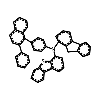 c1ccc(-c2ccc3ccccc3c2-c2ccc(N(c3cccc4c3Cc3ccccc3-4)c3cccc4c3sc3ccccc34)cc2)cc1